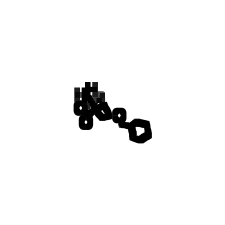 N[C@]1(C(=O)O)C[C@H](OCc2ccccc2)C1